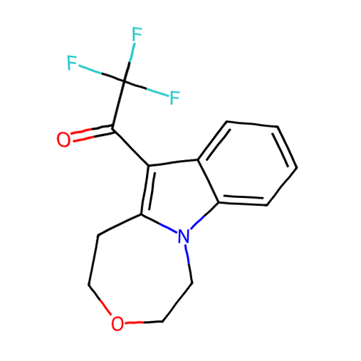 O=C(c1c2n(c3ccccc13)CCOCC2)C(F)(F)F